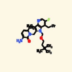 Cc1c(Cn2c(C)ccc(N)c2=O)n(COCC[Si](C)(C)C)c2c(CC(C)C)c(F)cnc12